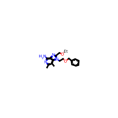 CCOCc1nc2c(N)nc(C)c(C)c2n1CCOCc1ccccc1